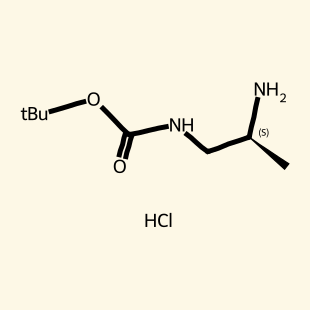 C[C@H](N)CNC(=O)OC(C)(C)C.Cl